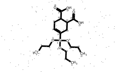 CCCO[Si](OCCC)(OCCC)C1=CCC(C(=O)O)C(C(=O)O)C1